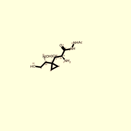 CC(=O)NNC(=O)[C@@H](N)CC1([C@H](CO)N(C)O)CC1